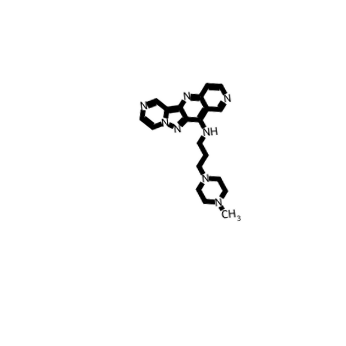 CN1CCN(CCCNc2c3cnccc3nc3c2nn2ccncc32)CC1